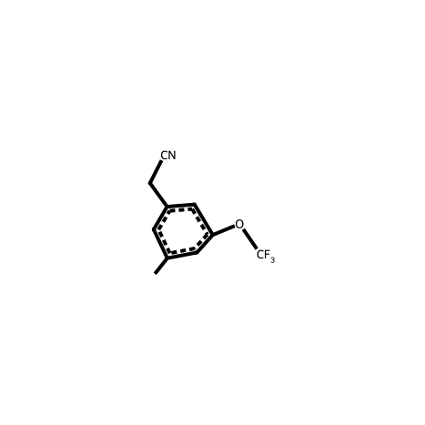 Cc1cc(CC#N)cc(OC(F)(F)F)c1